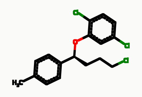 Cc1ccc([C@H](CCCCl)Oc2cc(Cl)ccc2Cl)cc1